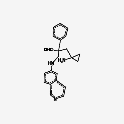 NC1(CC(C=O)(CNc2ccc3cnccc3c2)c2ccccc2)CC1